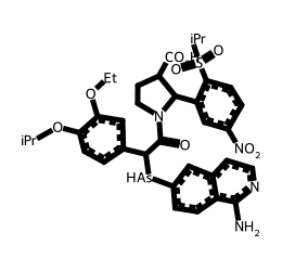 CCOc1cc(C([AsH]c2ccc3c(N)nccc3c2)C(=O)N2CCC(C(=O)O)C2c2cc([N+](=O)[O-])ccc2S(=O)(=O)C(C)C)ccc1OC(C)C